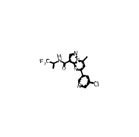 Cc1cc(-c2cncc(Cl)c2)nc2c(C(=O)NC(C)C(F)(F)F)cnn12